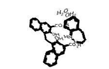 C1=Cc2ccccc2NN=C1.O.O.O=C(O)c1cc2ccccc2c(Cc2c(O)c(C(=O)O)cc3ccccc23)c1O